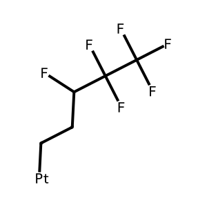 FC(C[CH2][Pt])C(F)(F)C(F)(F)F